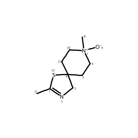 CC1=NCC2(CC[N+](C)([O-])CC2)S1